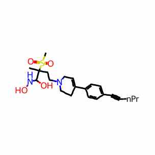 CCCC#Cc1ccc(C2=CCN(CCC(C)(C(O)NO)S(C)(=O)=O)CC2)cc1